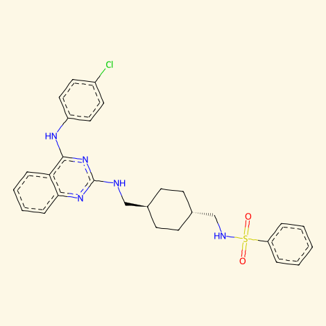 O=S(=O)(NC[C@H]1CC[C@H](CNc2nc(Nc3ccc(Cl)cc3)c3ccccc3n2)CC1)c1ccccc1